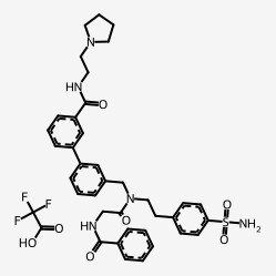 NS(=O)(=O)c1ccc(CCN(Cc2cccc(-c3cccc(C(=O)NCCN4CCCC4)c3)c2)C(=O)CNC(=O)c2ccccc2)cc1.O=C(O)C(F)(F)F